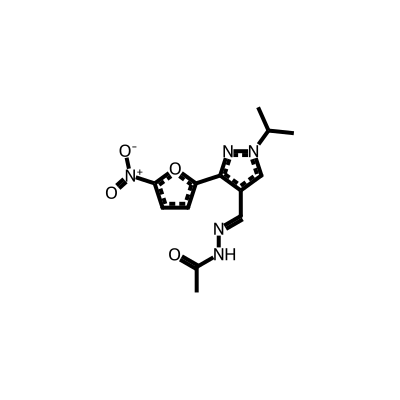 CC(=O)NN=Cc1cn(C(C)C)nc1-c1ccc([N+](=O)[O-])o1